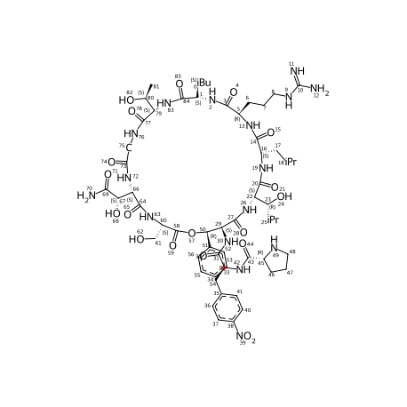 CC[C@H](C)[C@@H]1NC(=O)[C@@H](CCCNC(=N)N)NC(=O)[C@H](CC(C)C)NC(=O)[C@H]([C@H](O)C(C)C)NC(=O)[C@@H](NC(=O)[C@H](Cc2ccc([N+](=O)[O-])cc2)NC(=O)[C@H]2CCCN2)[C@@H](c2ccccc2)OC(=O)[C@H](CO)NC(=O)[C@H]([C@H](O)C(N)=O)NC(=O)CNC(=O)[C@H]([C@H](C)O)NC1=O